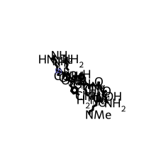 CNCCCC[C@H](N)C(=O)N[C@H](C(=O)N[C@@H](C)C(=O)NCC(=O)N[C@H](CCCN)C(=O)N1CCC[C@H]1C(=O)N[C@@H](Cc1ccc(Cl)cc1)C(=O)N[C@@H](CCCCN)C(=O)N/C(=C\CCNC(=N)N)C(=O)O)[C@@H](O)CN